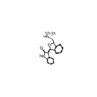 CCOC(=O)NCC1O/C(=C2\C(=O)Nc3ccccc32)c2ccccc21